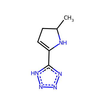 CC1CC=C(c2nnn[nH]2)N1